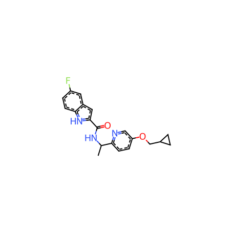 CC(NC(=O)c1cc2cc(F)ccc2[nH]1)c1ccc(OCC2CC2)cn1